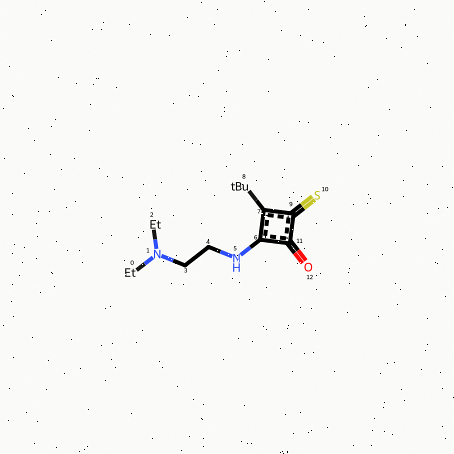 CCN(CC)CCNc1c(C(C)(C)C)c(=S)c1=O